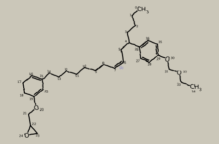 CCCCC(C/C=C\CCCCCCCC1=CCCC(OCC2CO2)=C1)c1ccc(OCOCC)cc1